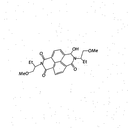 CCC(COC)N1C(=O)c2ccc3c4c(ccc(c24)C1=O)C(O)N(C(CC)COC)C3=O